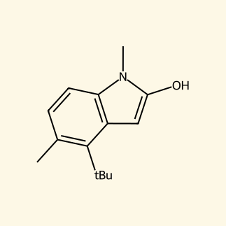 Cc1ccc2c(cc(O)n2C)c1C(C)(C)C